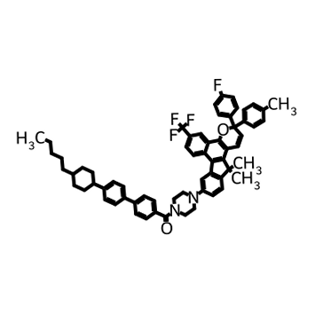 CCCCCC1CCC(c2ccc(-c3ccc(C(=O)N4CCN(c5ccc6c(c5)-c5c(c7c(c8cc(C(F)(F)F)ccc58)OC(c5ccc(C)cc5)(c5ccc(F)cc5)C=C7)C6(C)C)CC4)cc3)cc2)CC1